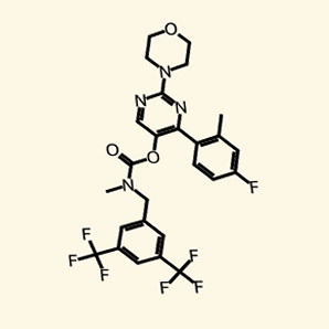 Cc1cc(F)ccc1-c1nc(N2CCOCC2)ncc1OC(=O)N(C)Cc1cc(C(F)(F)F)cc(C(F)(F)F)c1